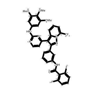 COc1cc(Nc2nccc(-c3c(-c4cccc(NC(=O)c5c(F)cccc5F)c4)nn4c(C(F)(F)F)cccc34)n2)cc(OC)c1OC